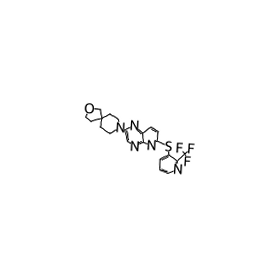 FC(F)(F)c1ncccc1Sc1ccc2nc(N3CCC4(CCOC4)CC3)cnc2n1